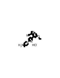 CCOc1cc(-c2ccc(N3CCC(C)(N)CC3)nc2)c2c(C#N)cnn2c1.Cl